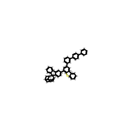 c1ccc(-c2ccc(-c3cccc(-c4cc(-c5ccc6c(c5)-c5ccccc5C65C6CC7CC(C6)CC5C7)c5sc6ccccc6c5c4)c3)cc2)cc1